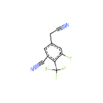 N#CCc1cc(F)c(C(F)(F)F)c(C#N)c1